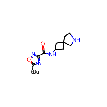 CC(C)(C)c1nc(C(=O)NC2CC3(CCNC3)C2)no1